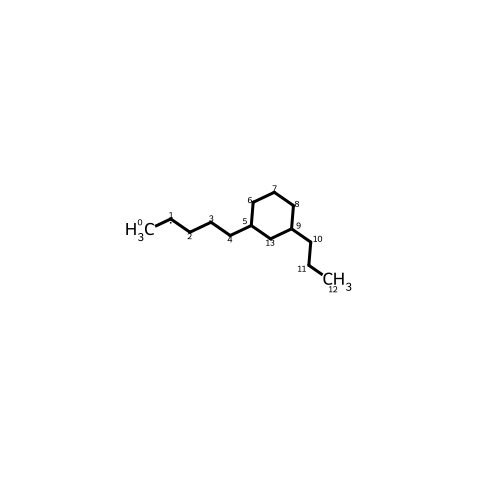 C[CH]CCCC1CCCC(CCC)C1